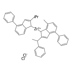 Cc1ccc(-c2ccccc2)c2c1[CH]([Zr+2][CH]1C(C(C)C)=Cc3c(-c4ccccc4)cccc31)C(C(C)c1ccccc1)=C2.[Cl-].[Cl-]